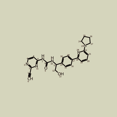 C#Cc1nccc(NC(=O)NC(CO)c2ccc(-c3cccc(N4CCCC4)n3)cc2)n1